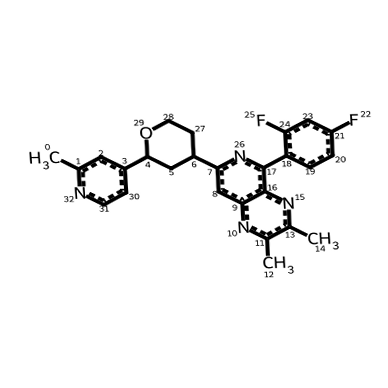 Cc1cc(C2CC(c3cc4nc(C)c(C)nc4c(-c4ccc(F)cc4F)n3)CCO2)ccn1